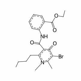 CCCCc1c(C(=O)Nc2ccccc2C(=O)OCC)c(=O)c(Br)c(C)n1C